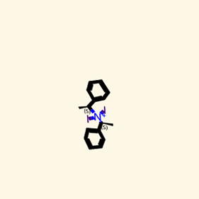 C[C@@H](c1ccccc1)[N+](I)(I)[C@@H](C)c1ccccc1